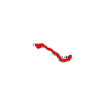 CC(=N)N1C(=N)[C@H](CC(=O)Nc2ccc(OCCOCCOCCOCCN3CCN(CCOCCOCCOCCNC(=O)CCNC(=O)c4nc(NC(=O)CCNC(=O)C5=CC(NC(=O)c6nc(NC(=O)CCNC(=O)c7cc(NC(=O)c8nccn8C)cn7C)cn6C)CN5C)cn4C)CC3)cc2)N=C(c2ccc(Cl)cc2)c2c1sc(C)c2C